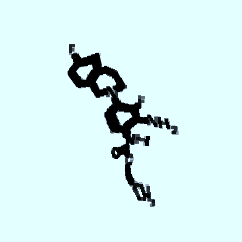 CCOC(=O)Nc1ccc(N2CCc3cc(F)ccc3C2)c(F)c1N